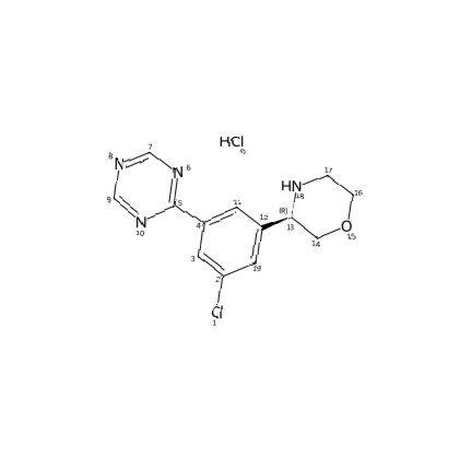 Cl.Clc1cc(-c2ncncn2)cc([C@@H]2COCCN2)c1